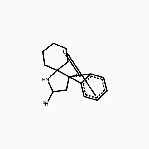 [2H]C1CC2(C(=O)Nc3ccccc32)C2(CCCCC2)N1